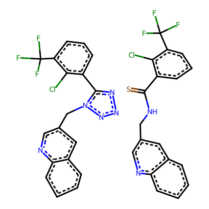 FC(F)(F)c1cccc(-c2nnnn2Cc2cnc3ccccc3c2)c1Cl.FC(F)(F)c1cccc(C(=S)NCc2cnc3ccccc3c2)c1Cl